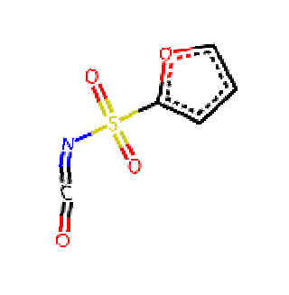 O=C=NS(=O)(=O)c1ccco1